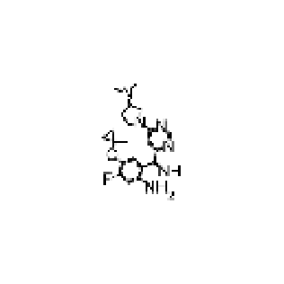 CN(C)C1CCN(c2cc(C(=N)c3cc(OC4(C)CC4)c(F)cc3N)ncn2)C1